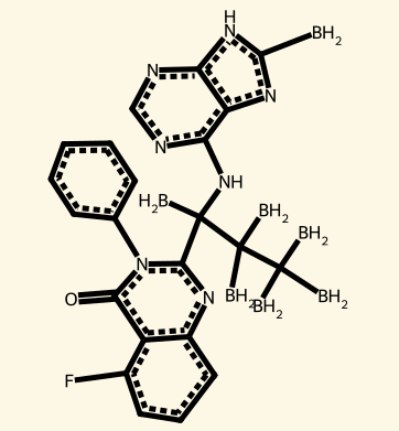 Bc1nc2c(NC(B)(c3nc4cccc(F)c4c(=O)n3-c3ccccc3)C(B)(B)C(B)(B)B)ncnc2[nH]1